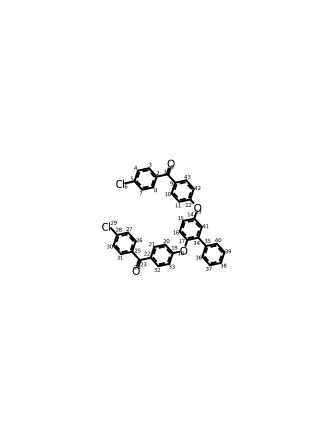 O=C(c1ccc(Cl)cc1)c1ccc(Oc2ccc(Oc3ccc(C(=O)c4ccc(Cl)cc4)cc3)c(-c3ccccc3)c2)cc1